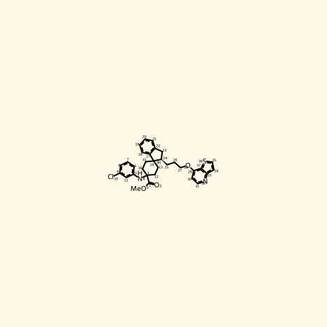 COC(=O)C1(Nc2cccc(Cl)c2)CCC2(CC1)c1ccccc1C[C@H]2CCCOc1ccnc2ccsc12